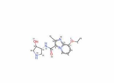 CCOc1cccn2c(C(=O)N[C@@H]3CNCC3O)c(C)nc12